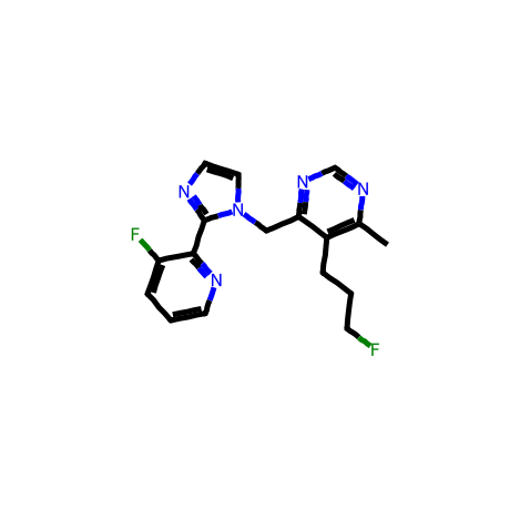 Cc1ncnc(Cn2ccnc2-c2ncccc2F)c1CCCF